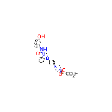 O=C(O)CS(=O)(=O)N1CCN(c2ccc(N3CCN(C(=O)NC4C5CC6CC4CC(O)(C6)C5)c4ccccc43)cc2)CC1